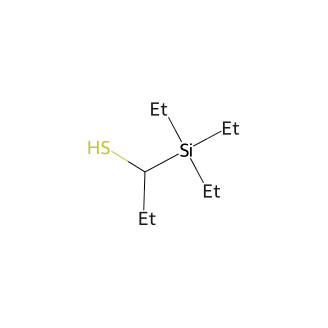 CCC(S)[Si](CC)(CC)CC